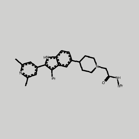 CCCNC(=O)CN1CCC(c2ccc3[nH]c(-c4cc(C)nc(C)c4)c(C(C)C)c3c2)CC1